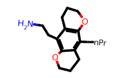 CCCc1c2c(c(CCN)c3c1OCCC3)OCCC2